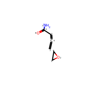 C1CO1.C=C=CC(N)=O